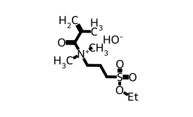 C=C(C)C(=O)[N+](C)(C)CCCS(=O)(=O)OCC.[OH-]